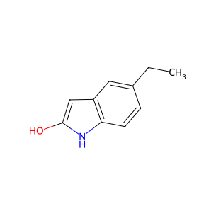 CCc1ccc2[nH]c(O)cc2c1